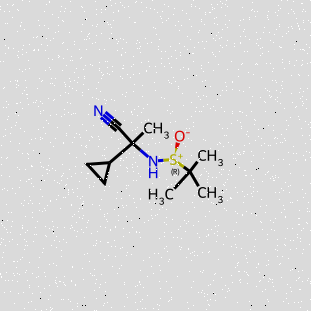 CC(C#N)(N[S@@+]([O-])C(C)(C)C)C1CC1